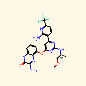 COC[C@H](C)Nc1nc(Oc2cccc3[nH]c(=O)c(N)nc23)cc(-c2ccc(C(F)(F)F)nc2N)n1